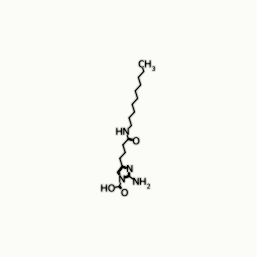 CCCCCCCCCCNC(=O)CCCc1cn(C(=O)O)c(N)n1